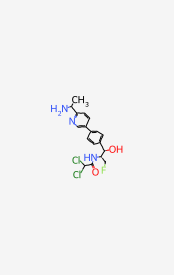 CC(N)c1ccc(-c2ccc([C@@H](O)[C@@H](CF)NC(=O)C(Cl)Cl)cc2)cn1